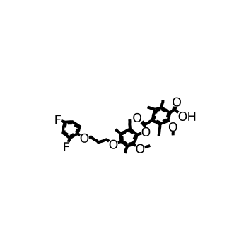 COc1c(C)c(OCCCOc2ccc(F)cc2F)c(C)c(C)c1OC(=O)c1c(C)c(C)c(C(=O)O)c(OC)c1C